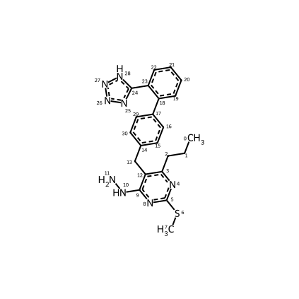 CCCc1nc(SC)nc(NN)c1Cc1ccc(-c2ccccc2-c2nnn[nH]2)cc1